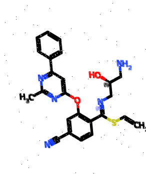 C=CS/C(=N\C[C@@H](O)CN)c1ccc(C#N)cc1Oc1cc(-c2ccccc2)nc(C)n1